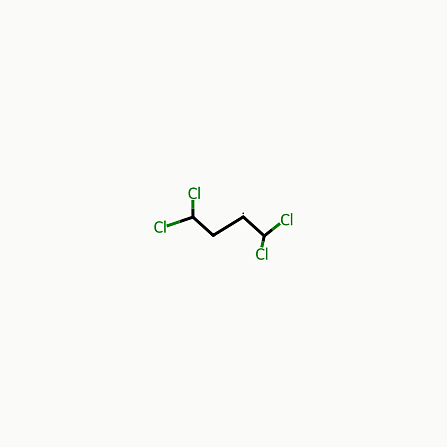 ClC(Cl)[CH]CC(Cl)Cl